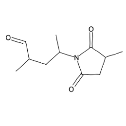 CC(C=O)CC(C)N1C(=O)CC(C)C1=O